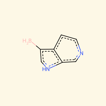 Bc1c[nH]c2cnccc12